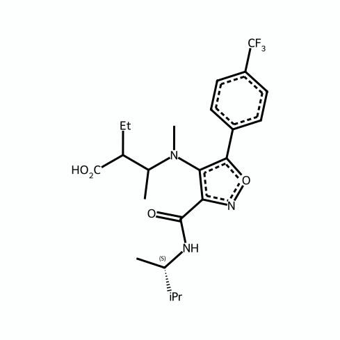 CCC(C(=O)O)C(C)N(C)c1c(C(=O)N[C@@H](C)C(C)C)noc1-c1ccc(C(F)(F)F)cc1